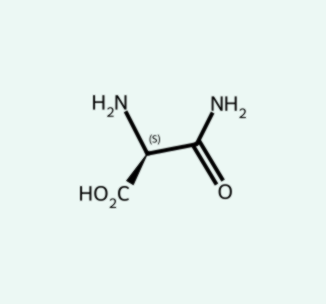 NC(=O)[C@H](N)C(=O)O